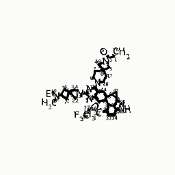 C=CC(=O)N1CC2(CCN(c3nc(N4CC5(CC(N(C)CC)C5)C4)nc4c(OCC(F)(F)F)c(-c5c(C)ccc6[nH]ncc56)c(C5CC5)cc34)CC2)C1